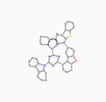 c1ccc(-c2nc(-c3cccc4oc5ccc(-c6nc(-c7ccccc7)nc7c6sc6ccccc67)cc5c34)nc(-n3c4ccccc4c4ccccc43)n2)cc1